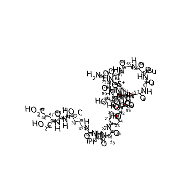 CC[C@H](C)[C@@H]1NC(=O)CNC(=O)C2Cc3c([nH]c4cc(OCc5ccc(N(C)C(=O)[C@H](C)NC(=O)[C@@H](NC(=O)NCCCC[C@H](NC(=O)N[C@@H](CCC(=O)O)C(=O)O)C(=O)O)C(C)C)cc5)ccc34)[S+]([O-])CC(NC(=O)CNC1=O)C(=O)N[C@@H](CC(N)=O)C(=O)N1C[C@H](O)C[C@]1(C=O)N[C@@H]([C@@H](C)[C@@H](O)CO)C(=O)N2